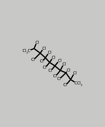 Cl[C](C(Cl)(Cl)Cl)C(Cl)(Cl)C(Cl)(Cl)C(Cl)(Cl)C(Cl)(Cl)C(Cl)(Cl)C(Cl)(Cl)C(Cl)(Cl)C(Cl)(Cl)Cl